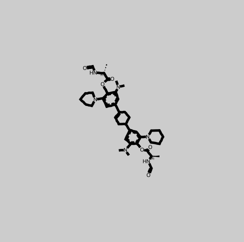 C[C@@H](NC=O)C(=O)Oc1c(N(C)C)cc(C2=CCC(c3cc(N(C)C)c(OC(=O)[C@@H](C)NC=O)c(N4CCCCC4)c3)CC2)cc1N1CCCCC1